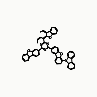 C\C=C/C(c1nc(-c2ccc3c(c2)oc2ccccc23)nc(-c2ccc3oc4c(-n5c6ccccc6c6ccccc65)cccc4c3c2)n1)=c1/oc2ccccc2/c1=C/C